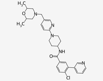 CC1CN(Cc2ccc(N3CCC(NC(=O)c4ccc(Cl)c(-c5cccnc5)c4)CC3)nc2)CC(C)O1